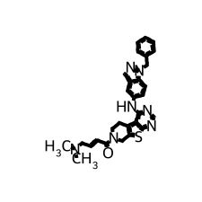 CN(C)CC=CC(=O)N1CCc2c(sc3ncnc(Nc4ccc5c(cnn5Cc5ccccc5)c4)c23)C1